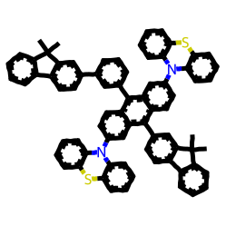 CC1(C)c2ccccc2-c2ccc(-c3cccc(-c4c5ccc(N6c7ccccc7Sc7ccccc76)cc5c(-c5ccc6c(c5)C(C)(C)c5ccccc5-6)c5ccc(N6c7ccccc7Sc7ccccc76)cc45)c3)cc21